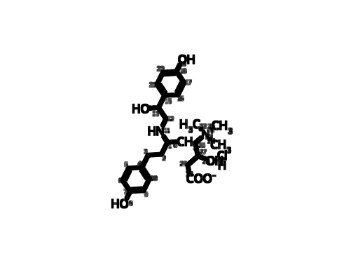 CC(CCc1ccc(O)cc1)NCC(O)c1ccc(O)cc1.C[N+](C)(C)CC(O)CC(=O)[O-].Cl